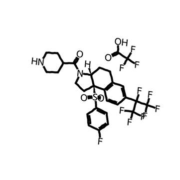 O=C(C1CCNCC1)N1CC[C@@]2(S(=O)(=O)c3ccc(F)cc3)c3ccc(C(F)(C(F)(F)F)C(F)(F)F)cc3CC[C@@H]12.O=C(O)C(F)(F)F